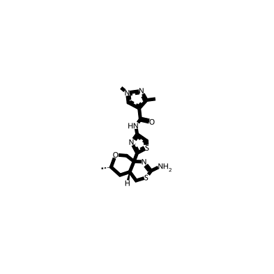 Cc1nn(C)cc1C(=O)Nc1csc(C23CO[C@@H](C)C[C@H]2CSC(N)=N3)n1